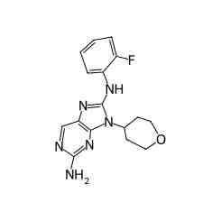 Nc1ncc2nc(Nc3ccccc3F)n(C3CCOCC3)c2n1